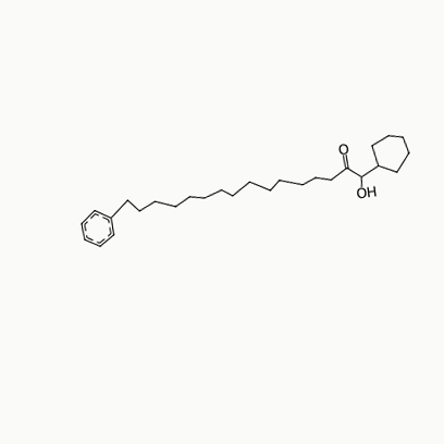 O=C(CCCCCCCCCCCCCCc1ccccc1)C(O)C1CCCCC1